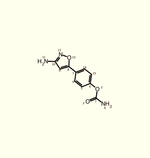 NC(=O)Oc1ccc(-c2cc(N)no2)cc1